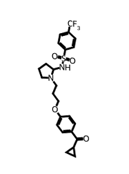 O=C(c1ccc(OCCCN2CCCC2NS(=O)(=O)c2ccc(C(F)(F)F)cc2)cc1)C1CC1